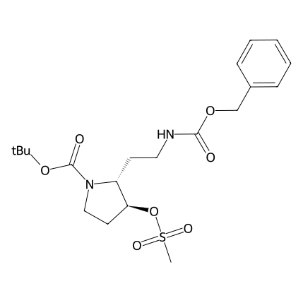 CC(C)(C)OC(=O)N1CC[C@H](OS(C)(=O)=O)[C@H]1CCNC(=O)OCc1ccccc1